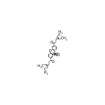 CCN(CC)CCC(=O)c1ccc2c(c1)Oc1ccc(C(=O)CCN(CC)CC)cc1S2.Cl.Cl